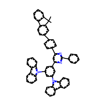 CC1(C)c2ccccc2-c2ccc(-c3ccc(-c4cc(-c5cc(-n6c7ccccc7c7ccccc76)cc(-n6c7ccccc7c7ccccc76)c5)nc(-c5ccccc5)n4)cc3)cc21